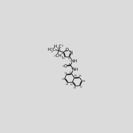 CC(C)(C)c1cc(NC(=O)Nc2cccc3ccccc23)no1